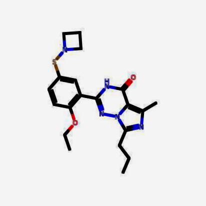 CCCc1nc(C)c2c(=O)[nH]c(-c3cc(SN4CCC4)ccc3OCC)nn12